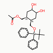 CC(=O)OC[C@H]1CC(O)C(O)C[C@H]1CO[Si](c1ccccc1)(c1ccccc1)C(C)(C)C